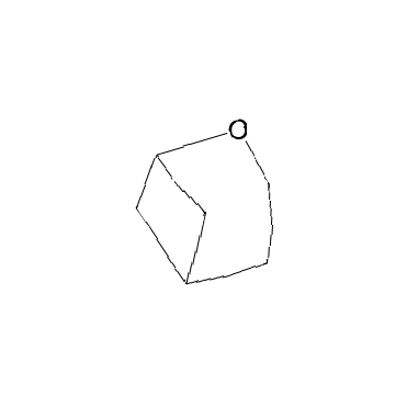 C1CC2CC(C2)O1